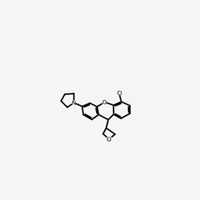 Clc1cccc2c1Oc1cc(N3CCCC3)ccc1C2C1COC1